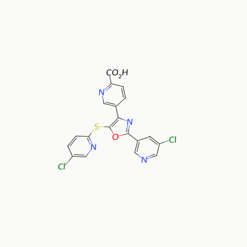 O=C(O)c1ccc(-c2nc(-c3cncc(Cl)c3)oc2Sc2ccc(Cl)cn2)cn1